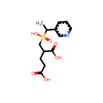 CC(c1cccnc1)P(=O)(O)CC(CCC(=O)O)C(=O)O